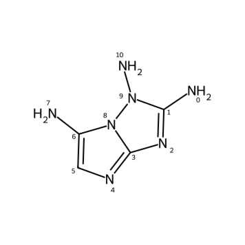 Nc1nc2ncc(N)n2n1N